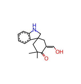 CC1(C)CC2(CNc3ccccc32)CC(=CO)C1=O